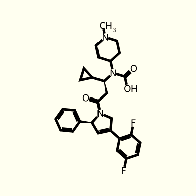 CN1CCC(N(C(=O)O)[C@@H](CC(=O)N2CC(c3cc(F)ccc3F)=C[C@H]2c2ccccc2)C2CC2)CC1